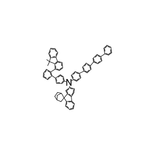 CC1(C)c2ccccc2-c2cccc(-c3ccccc3-c3ccc(N(c4ccc(-c5ccc(-c6ccc(-c7ccccc7)cc6)cc5)cc4)c4ccc5c(c4)C4(CC6CCC4C6)c4ccccc4-5)cc3)c21